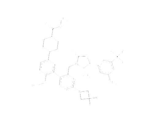 COC(=O)C1CCC(c2ccc(OC)c(-c3cnc(N4CC(F)(F)C4)nc3CN3C(=O)O[C@H](c4cc(C)cc(C(F)(F)F)c4)[C@@H]3C)c2)CC1